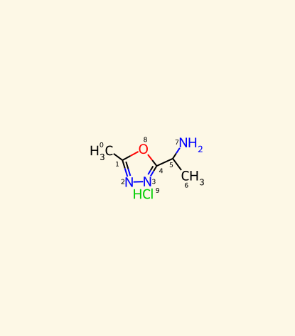 Cc1nnc(C(C)N)o1.Cl